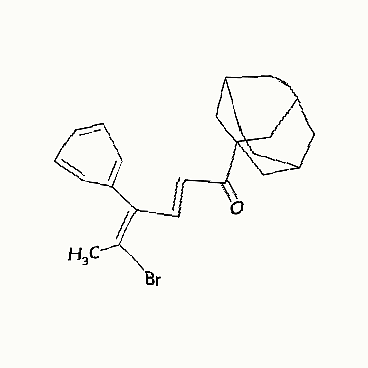 C/C(Br)=C(/C=C/C(=O)C12CC3CC(CC(C3)C1)C2)c1ccccc1